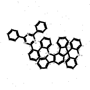 c1ccc(-c2nc(-c3ccccc3)nc(-c3ccccc3-c3ccccc3-n3c4ccccc4c4ccc5c(c43)-c3ccccc3C53c4ccccc4Oc4ccccc43)n2)cc1